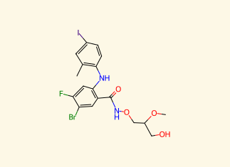 COC(CO)CONC(=O)c1cc(Br)c(F)cc1Nc1ccc(I)cc1C